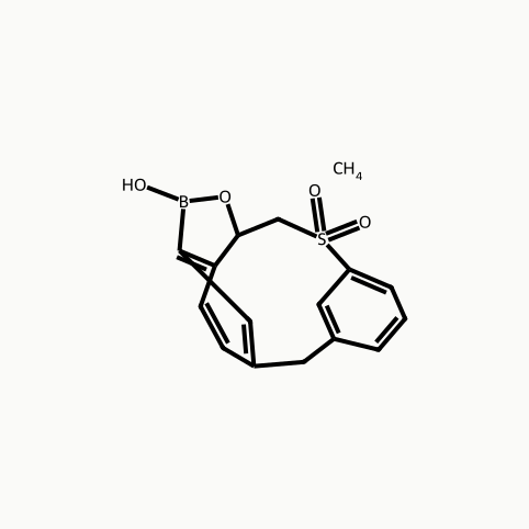 C.O=S1(=O)CC2OB(O)c3cc(ccc32)Cc2cccc1c2